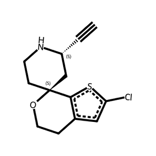 C#C[C@@H]1C[C@]2(CCN1)OCCc1cc(Cl)sc12